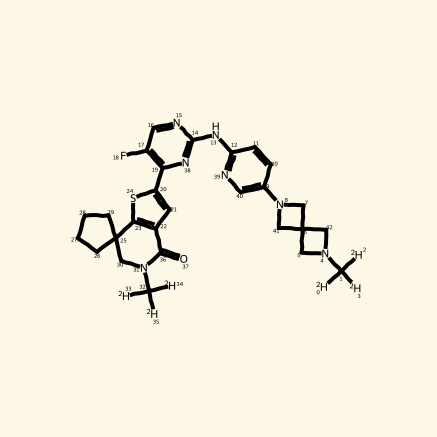 [2H]C([2H])([2H])N1CC2(CN(c3ccc(Nc4ncc(F)c(-c5cc6c(s5)C5(CCCC5)CN(C([2H])([2H])[2H])C6=O)n4)nc3)C2)C1